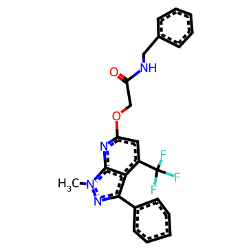 Cn1nc(-c2ccccc2)c2c(C(F)(F)F)cc(OCC(=O)NCc3ccccc3)nc21